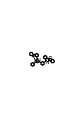 c1ccc(-c2cc(-c3cccc(-c4nc5c6ccccc6oc5c5ccccc45)c3)nc(-c3cccc4c3sc3ccccc34)n2)cc1